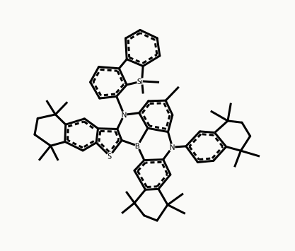 Cc1cc2c3c(c1)N(c1cccc4c1[Si](C)(C)c1ccccc1-4)c1c(sc4cc5c(cc14)C(C)(C)CCC5(C)C)B3c1cc3c(cc1N2c1ccc2c(c1)C(C)(C)CCC2(C)C)C(C)(C)CCC3(C)C